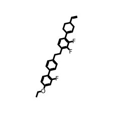 C=CC1CC=C(c2ccc(CCc3ccc(-c4ccc(OCC)cc4F)cc3)c(F)c2F)CC1